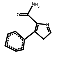 NC(=O)C1=C(c2ccccc2)CC=N1